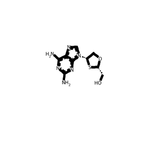 Nc1nc(N)c2ncn([C@@H]3CO[C@H](CO)S3)c2n1